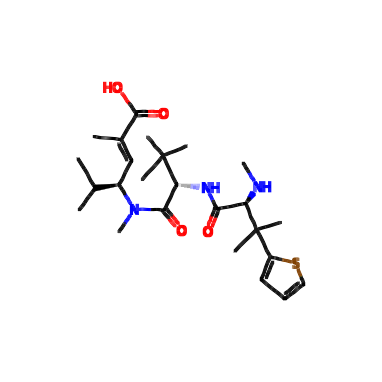 CN[C@H](C(=O)N[C@H](C(=O)N(C)[C@H](C=C(C)C(=O)O)C(C)C)C(C)(C)C)C(C)(C)c1cccs1